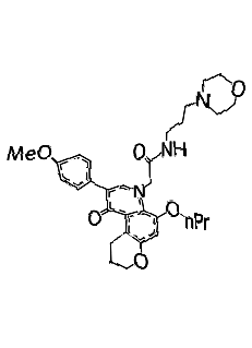 CCCOc1cc2c(c3c(=O)c(-c4ccc(OC)cc4)cn(CC(=O)NCCCN4CCOCC4)c13)CCCO2